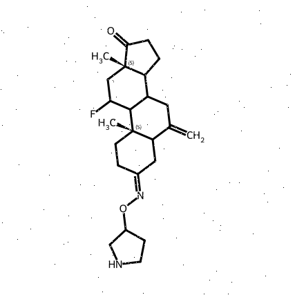 C=C1CC2C(C(F)C[C@]3(C)C(=O)CCC23)[C@@]2(C)CCC(=NOC3CCNC3)CC12